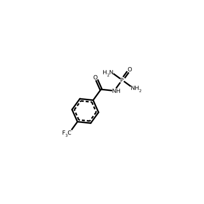 NP(N)(=O)NC(=O)c1ccc(C(F)(F)F)cc1